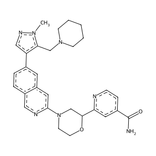 Cn1ncc(-c2ccc3cnc(N4CCOC(c5cc(C(N)=O)ccn5)C4)cc3c2)c1CN1CCCCC1